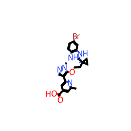 Cc1cc(C(=O)O)cc(-c2cnn(C)c2OCCC2(CNc3cc(Br)ccc3N)CC2)n1